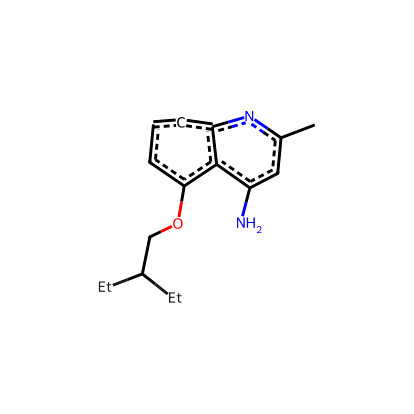 CCC(CC)COc1cccc2nc(C)cc(N)c12